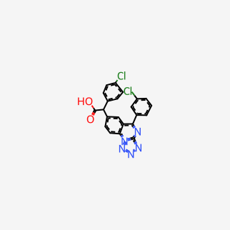 O=C(O)C(c1ccc(Cl)cc1)c1ccc2c(c1)c(-c1cccc(Cl)c1)nc1nnnn12